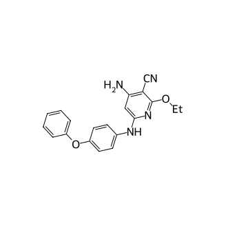 CCOc1nc(Nc2ccc(Oc3ccccc3)cc2)cc(N)c1C#N